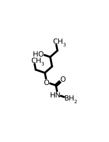 BNC(=O)OC(CC)CC(O)CC